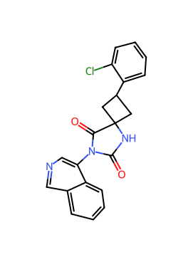 O=C1NC2(CC(c3ccccc3Cl)C2)C(=O)N1c1cncc2ccccc12